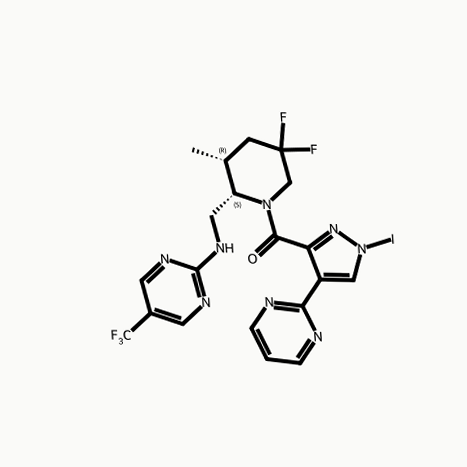 C[C@@H]1CC(F)(F)CN(C(=O)c2nn(I)cc2-c2ncccn2)[C@@H]1CNc1ncc(C(F)(F)F)cn1